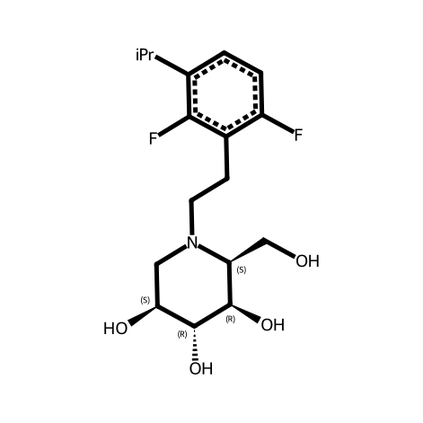 CC(C)c1ccc(F)c(CCN2C[C@H](O)[C@@H](O)[C@H](O)[C@@H]2CO)c1F